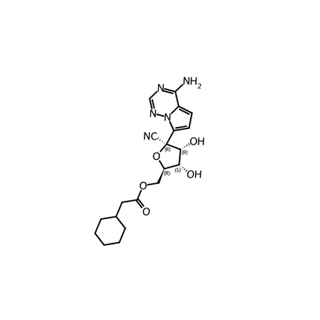 N#C[C@@]1(c2ccc3c(N)ncnn23)O[C@H](COC(=O)CC2CCCCC2)[C@@H](O)[C@H]1O